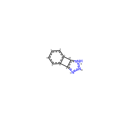 c1ccc2c(c1)-c1nn[nH]c1-2